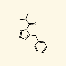 CN(C)C(=O)n1nnnc1Cc1ccccc1